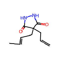 C=CCC1(CC=CC)C(=O)NNC1=O